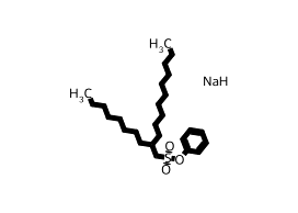 CCCCCCCCCCC(CCCCCCCC)CS(=O)(=O)Oc1ccccc1.[NaH]